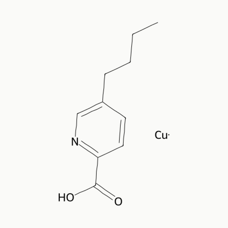 CCCCc1ccc(C(=O)O)nc1.[Cu]